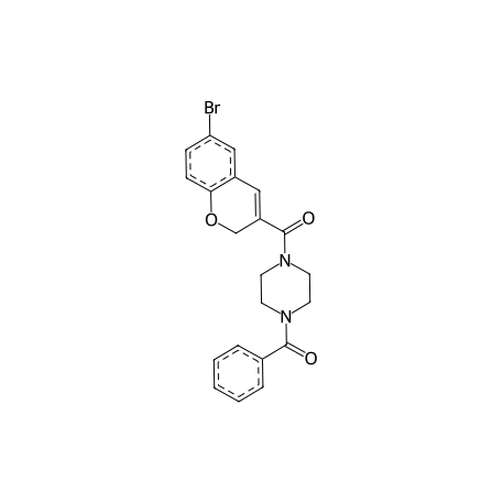 O=C(C1=Cc2cc(Br)ccc2OC1)N1CCN(C(=O)c2ccccc2)CC1